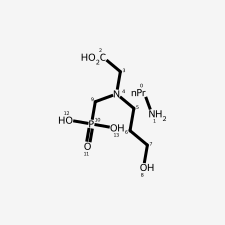 CCCN.O=C(O)CN(CCCO)CP(=O)(O)O